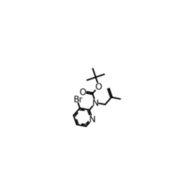 C=C(C)CN(C(=O)OC(C)(C)C)c1ncccc1Br